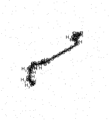 CC(=N)N1C(=N)[C@H](CC(=O)Nc2ccc(CCCOCCOCCOCCOCCOCCOCCOCCOCCNC(=O)CCNC(=O)c3cc(NC(=O)CCNC(=O)c4cc(NC(=O)c5nc(NC(=O)CCNC(=O)c6cc(NC(=O)c7nccn7C)cn6C)cn5C)cn4C)cn3C)cc2)N=C(c2ccc(Cl)cc2)c2c1sc(C)c2C